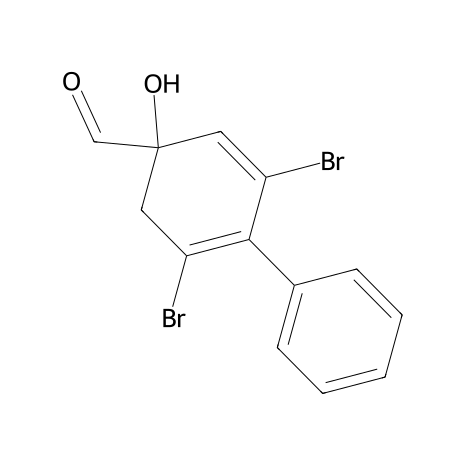 O=CC1(O)C=C(Br)C(c2ccccc2)=C(Br)C1